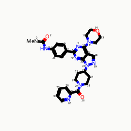 CNC(=O)Nc1ccc(-c2nc(N3CCOCC3)c3cnn(C4CCN(C(=O)c5ccccn5)CC4)c3n2)cc1